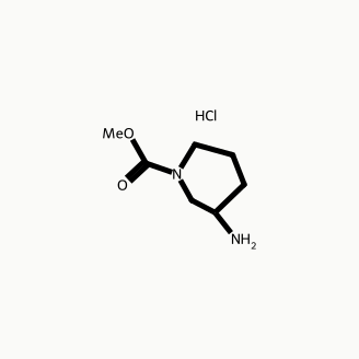 COC(=O)N1CCCC(N)C1.Cl